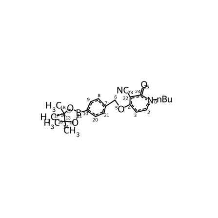 CCCCn1ccc(OCc2ccc(B3OC(C)(C)C(C)(C)O3)cc2)c(C#N)c1=O